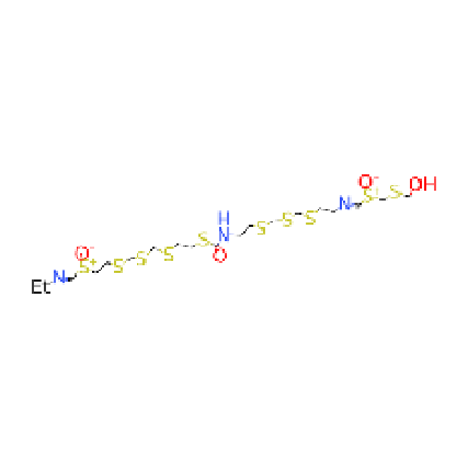 CC/N=C/[S+]([O-])CCSCSCSCCSC(=O)NCCSCSCSCC/N=C/[S+]([O-])CSCO